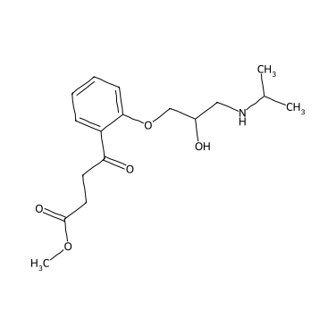 COC(=O)CCC(=O)c1ccccc1OCC(O)CNC(C)C